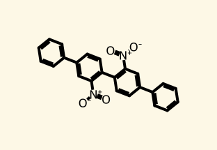 O=[N+]([O-])c1cc(-c2ccccc2)ccc1-c1ccc(-c2ccccc2)cc1[N+](=O)[O-]